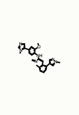 C=N/C(=C\c1c(C)cccc1-c1cnn(C)c1)Nc1ccc(-c2cncn2C)cc1OC